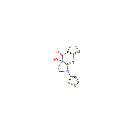 O=C1c2ccsc2N=C2N(c3ccsc3)CCC12O